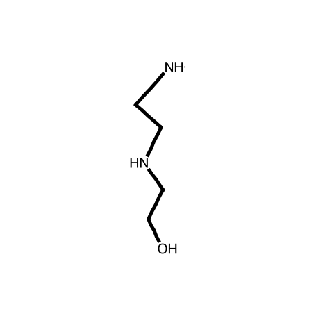 [NH]CCNCCO